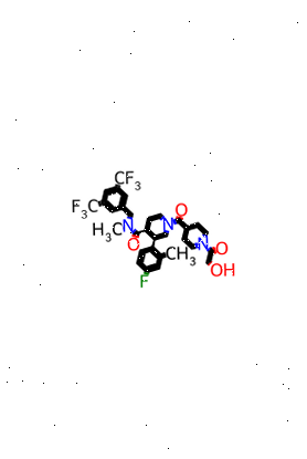 Cc1cc(F)ccc1[C@@H]1CN(C(=O)C2CCN(C(=O)CO)CC2)CC[C@@H]1C(=O)N(C)Cc1cc(C(F)(F)F)cc(C(F)(F)F)c1